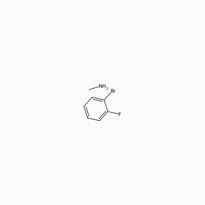 CN.Fc1ccccc1Br